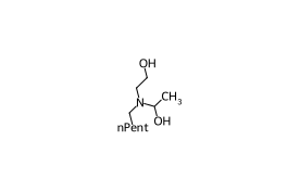 CCCCCCN(CCO)C(C)O